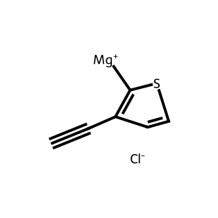 C#Cc1ccs[c]1[Mg+].[Cl-]